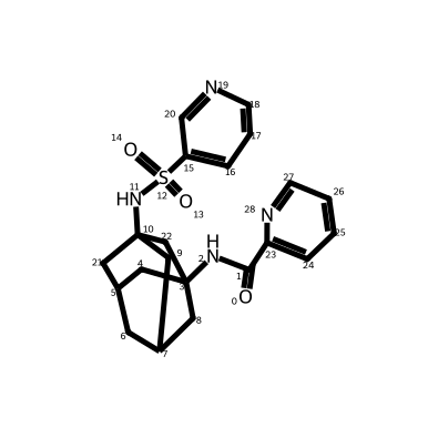 O=C(NC12CC3CC(C1)CC(NS(=O)(=O)c1cccnc1)(C3)C2)c1ccccn1